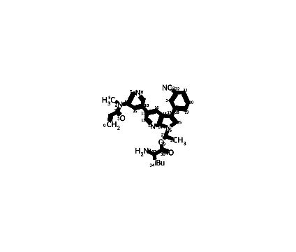 C=CC(=O)N(C)c1cncc(-c2cnc3c(c2)c(-c2cccc(C#N)c2)cn3C(C)OC(=O)C(N)C(C)CC)c1